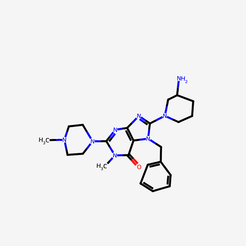 CN1CCN(c2nc3nc(N4CCCC(N)C4)n(Cc4ccccc4)c3c(=O)n2C)CC1